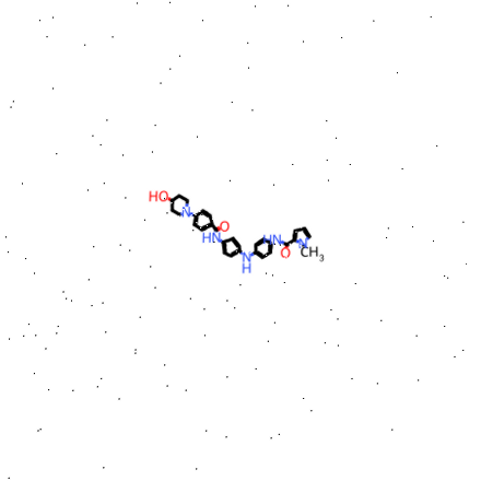 Cn1cccc1C(=O)Nc1ccc(Nc2ccc(NC(=O)c3ccc(N4CCC(O)CC4)cc3)cc2)cc1